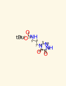 CC(C)(C)OC(=O)NCCCn1[c]n[nH]c(=O)c1=O